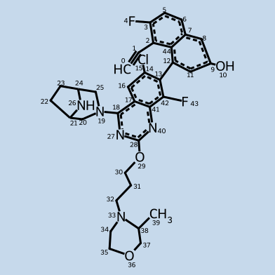 C#Cc1c(F)ccc2cc(O)cc(-c3c(Cl)cc4c(N5CC6CCC(C5)N6)nc(OCCCN5CCOCC5C)nc4c3F)c12